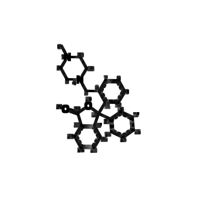 CN1CCN(Cc2ccccc2C2(c3ccccc3)OC(=O)c3ccccc32)CC1